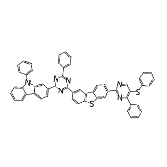 c1ccc(Sc2cnc(-c3ccc4c(c3)sc3ccc(-c5nc(-c6ccccc6)nc(-c6ccc7c8ccccc8n(-c8ccccc8)c7c6)n5)cc34)nc2-c2ccccc2)cc1